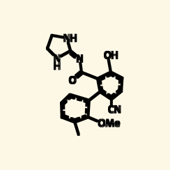 COc1c(C)cccc1-c1c(C#N)ccc(O)c1C(=O)N=C1NCCN1